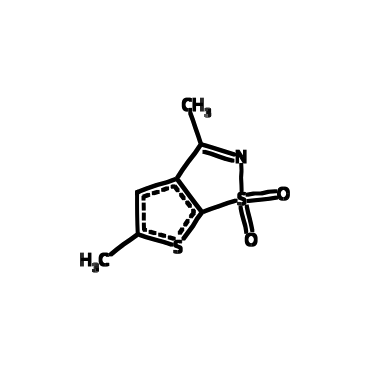 CC1=NS(=O)(=O)c2sc(C)cc21